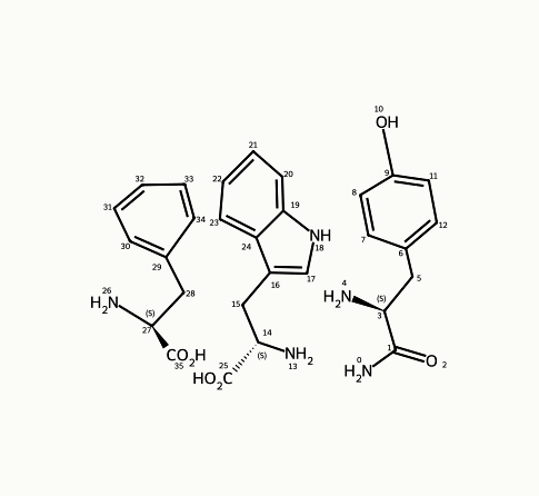 NC(=O)[C@@H](N)Cc1ccc(O)cc1.N[C@@H](Cc1c[nH]c2ccccc12)C(=O)O.N[C@@H](Cc1ccccc1)C(=O)O